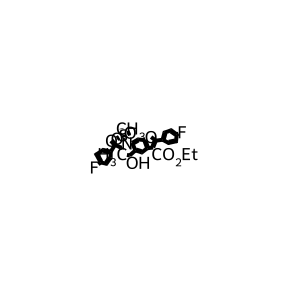 CCOC(=O)c1c(-c2ccc(F)cc2)oc2cc(N(CC(=O)c3ccc(F)cc3)S(C)(=O)=O)c(C(C)O)cc12